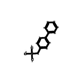 Cl[Si](Cl)(Cl)Cc1ccc(-c2ccccc2)cc1